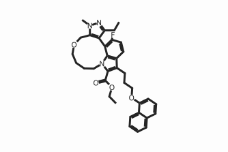 CCOC(=O)c1c(CCCOc2cccc3ccccc23)c2ccc(F)c3c2n1CCCCOCc1c-3c(CC)nn1C